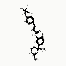 CC1(c2ccc(F)c(NC(=O)/C=C/c3ccc(OC(F)(F)F)cc3)c2)CCSC(N)=N1